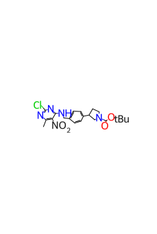 Cc1nc(Cl)nc(NCc2ccc(C3CCN(C(=O)OC(C)(C)C)C3)cc2)c1[N+](=O)[O-]